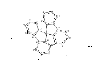 c1cnc2c(c1)C1(c3cccnc3-2)c2cccnc2-c2ncccc21